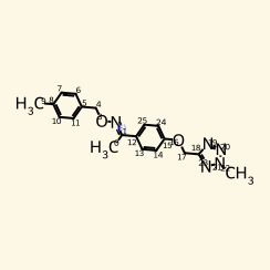 C/C(=N\OCc1ccc(C)cc1)c1ccc(OCc2nnn(C)n2)cc1